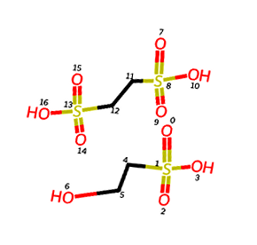 O=S(=O)(O)CCO.O=S(=O)(O)CCS(=O)(=O)O